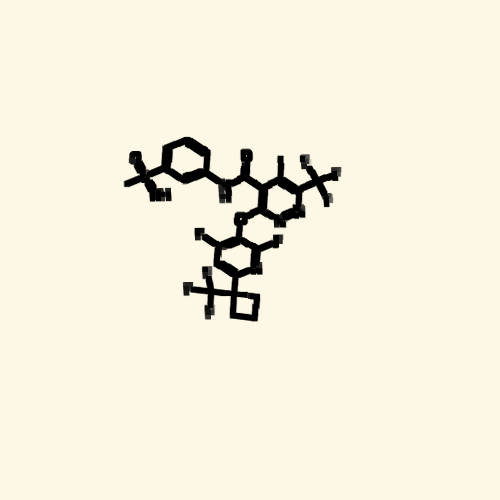 Cc1c(C(F)(F)F)nnc(Oc2c(F)cc(C3(C(F)(F)F)CCC3)nc2F)c1C(=O)Nc1cccc(S(C)(=N)=O)c1